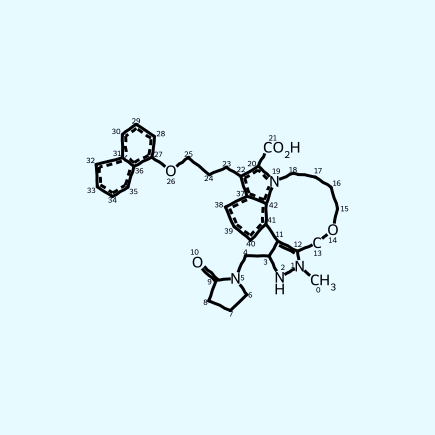 CN1NC(CN2CCCC2=O)C2=C1COCCCCn1c(C(=O)O)c(CCCOc3cccc4ccccc34)c3cccc2c31